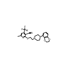 Cc1cc(C(F)(F)F)c(C#N)c(SCCN2CCN(c3cccc4c3OCCO4)CC2)n1